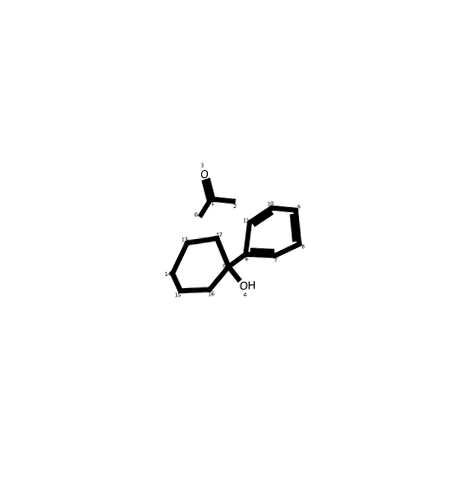 CC(C)=O.OC1(c2ccccc2)CCCCC1